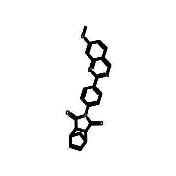 COc1ccc2cnc(-c3ccc(N4C(=O)C5C6C=CC(C6)C5C4=O)cc3)nc2c1